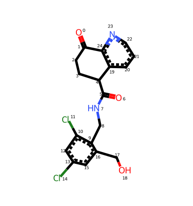 O=C1CCC(C(=O)NCc2c(Cl)cc(Cl)cc2CO)c2cccnc21